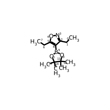 CCc1noc(CC)c1B1OC(C)(C)C(C)(C)O1